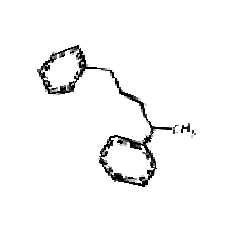 CC([CH]CCc1ccccc1)c1ccccc1